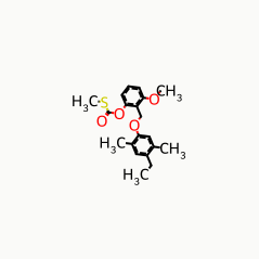 CCc1cc(C)c(OCc2c(OC)cccc2OC(=O)SC)cc1C